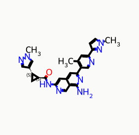 Cc1cc(-c2ccn(C)n2)ncc1-c1cc2cc(NC(=O)[C@H]3C[C@@H]3c3cnn(C)c3)ncc2c(N)n1